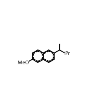 COc1ccc2cc(C(C)C(C)C)ccc2c1